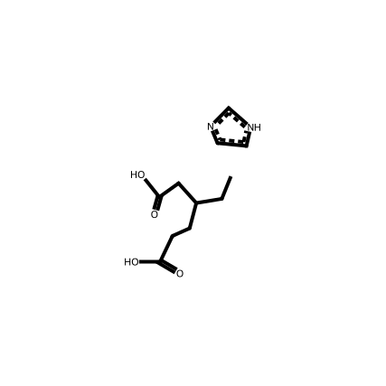 CCC(CCC(=O)O)CC(=O)O.c1c[nH]cn1